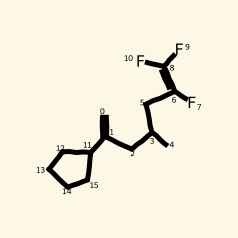 C=C(CC(C)CC(F)=C(F)F)C1CCCC1